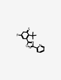 CC(C)(C)C1=C(c2nc(-c3ccccn3)no2)C=C(F)CC1=S